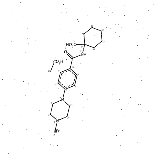 CC(=O)O.CCCN1CCN(c2ccc(C(=O)NC3(C(=O)O)CCCCC3)cc2)CC1